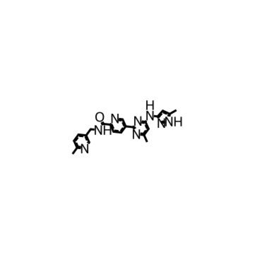 Cc1ccc(CNC(=O)c2ccc(-c3nc(C)cc(Nc4cc(C)[nH]n4)n3)cn2)cn1